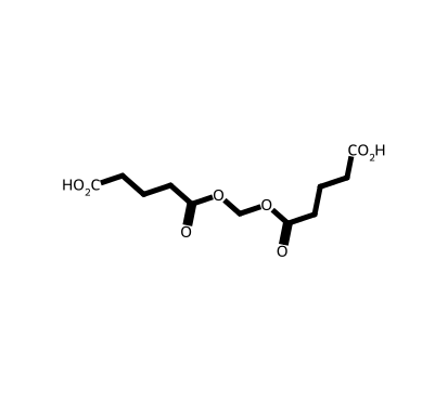 O=C(O)CCCC(=O)OCOC(=O)CCCC(=O)O